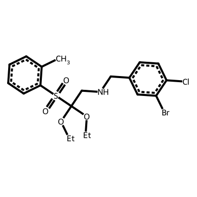 CCOC(CNCc1ccc(Cl)c(Br)c1)(OCC)S(=O)(=O)c1ccccc1C